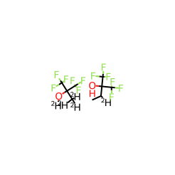 [2H]C(C)C(O)(C(F)(F)F)C(F)(F)F.[2H]OC(C([2H])([2H])[2H])(C(F)(F)F)C(F)(F)F